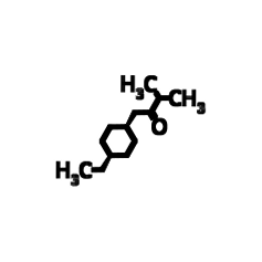 CC[C@H]1CC[C@@H](CC(=O)C(C)C)CC1